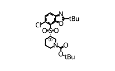 CC(C)(C)OC(=O)N1CCC[C@H](S(=O)(=O)c2c(Cl)ccc3nc(C(C)(C)C)oc23)C1